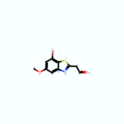 COc1cc(Br)c2sc(CC=O)nc2c1